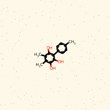 Cc1ccc(-c2c(O)c(C)c(C)c(O)c2O)cc1